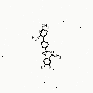 C=C(NC1(c2ccc(-c3cnc(C)nc3N)cc2)CC1)c1ccc(Cl)c(F)c1